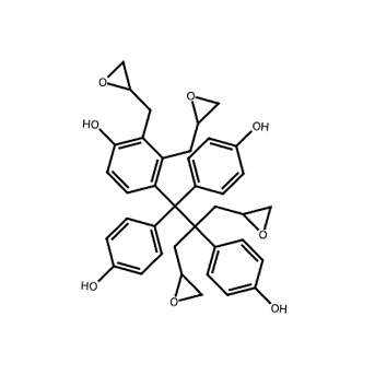 Oc1ccc(C(CC2CO2)(CC2CO2)C(c2ccc(O)cc2)(c2ccc(O)cc2)c2ccc(O)c(CC3CO3)c2CC2CO2)cc1